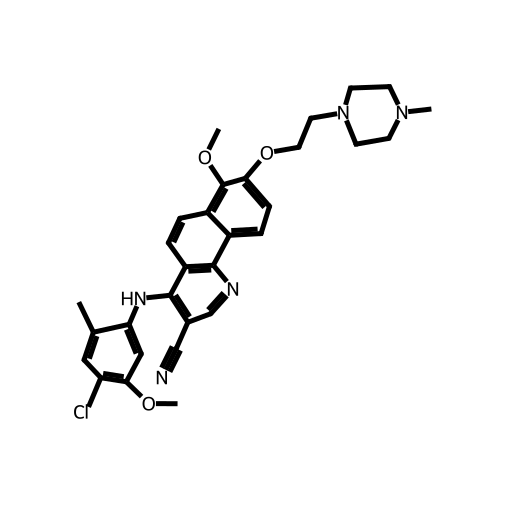 COc1cc(Nc2c(C#N)cnc3c2ccc2c(OC)c(OCCN4CCN(C)CC4)ccc23)c(C)cc1Cl